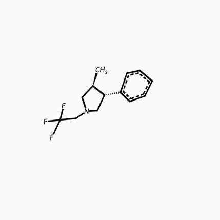 C[C@@H]1CN(CC(F)(F)F)C[C@H]1c1ccccc1